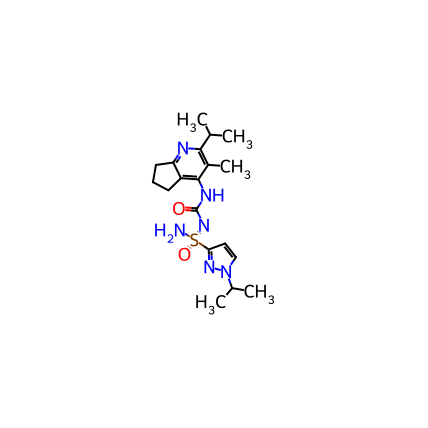 Cc1c(C(C)C)nc2c(c1NC(=O)N=S(N)(=O)c1ccn(C(C)C)n1)CCC2